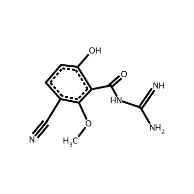 COc1c(C#N)ccc(O)c1C(=O)NC(=N)N